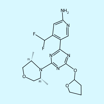 C[C@@H]1COC[C@H](C)N1c1nc(OC2CCCO2)nc(-c2cnc(N)cc2C(F)F)n1